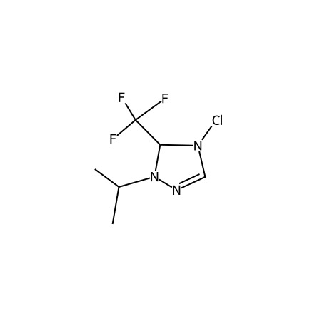 CC(C)N1N=CN(Cl)C1C(F)(F)F